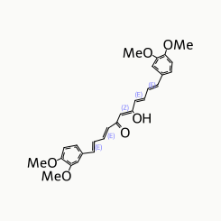 COc1ccc(/C=C/C=C/C(=O)/C=C(O)/C=C/C=C/c2ccc(OC)c(OC)c2)cc1OC